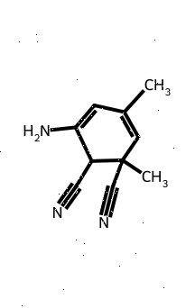 CC1=CC(C)(C#N)C(C#N)C(N)=C1